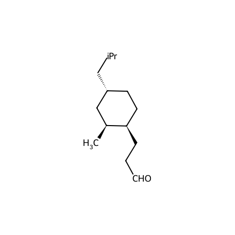 CC(C)C[C@@H]1CC[C@@H](CCC=O)[C@@H](C)C1